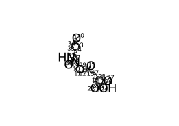 COc1ccc(-c2cn(-c3cccc(C(=O)/C=C/c4cc(OC)c(O)c(OC)c4)c3)c(=O)[nH]2)cc1